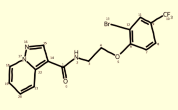 O=C(NCCOc1ccc(C(F)(F)F)cc1Br)c1cnn2ccccc12